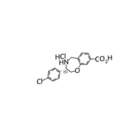 Cl.O=C(O)c1ccc2c(c1)OC[C@H](c1ccc(Cl)cc1)NC2